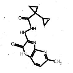 Cc1ccc2[nH]c(=O)c(NNC(=O)C3(C4CC4)CC3)nc2n1